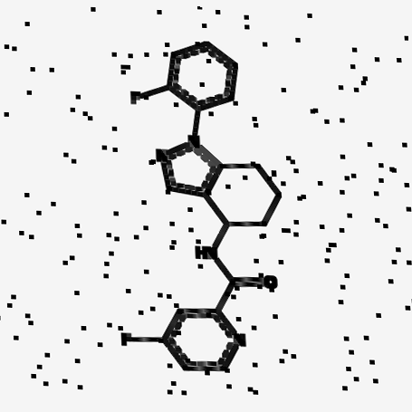 O=C(NC1CCCc2c1cnn2-c1ccccc1F)c1cc(F)ccn1